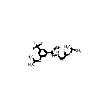 CC(C)OC(=O)/C=C\N/N=C(\N=N)c1cc(OC(C)C)cc(C(F)(F)F)c1